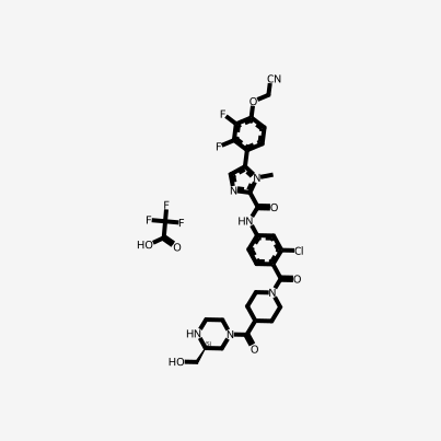 Cn1c(-c2ccc(OCC#N)c(F)c2F)cnc1C(=O)Nc1ccc(C(=O)N2CCC(C(=O)N3CCN[C@H](CO)C3)CC2)c(Cl)c1.O=C(O)C(F)(F)F